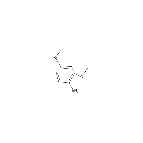 Bc1ccc(OC)cc1OC